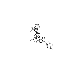 COc1ncc(NC(=O)C(=O)N2C[C@@H](C)CC[C@@H]2c2ccc(CCN(C)C)c(Cl)c2)cc1C(N)=O